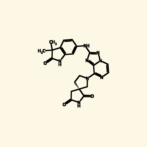 CC1(C)C(=O)Nc2cc(Nc3nc4c(N5CC[C@]6(CC(=O)NC6=O)C5)nccn4n3)ccc21